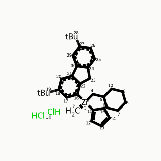 Cl.Cl.[CH2]=[Zr]([CH2]C1CCCCC1)([C]1=CC=CC1)[c]1cc(C(C)(C)C)cc2c1Cc1ccc(C(C)(C)C)cc1-2